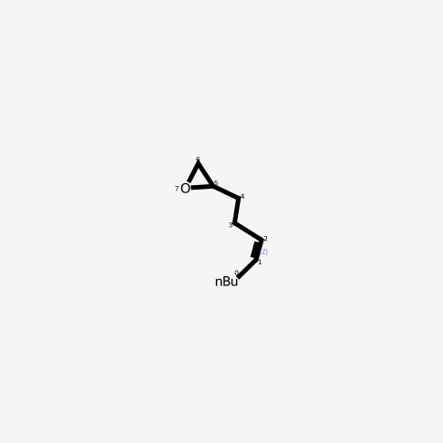 CCCC/C=C\CCC1CO1